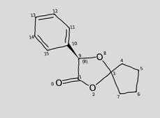 O=C1OC2(CCCC2)O[C@@H]1c1ccccc1